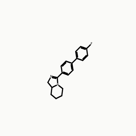 Fc1ccc(-c2ccc(C3=NCC4CCCCN34)cc2)cc1